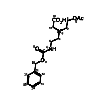 CC(=O)OCCN(CCNC(=O)OCc1ccccc1)CC(=O)O